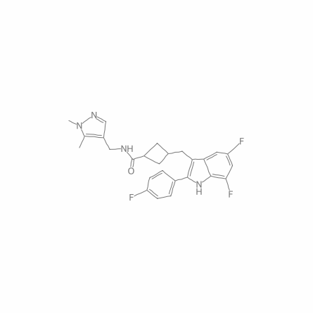 Cc1c(CNC(=O)C2CC(Cc3c(-c4ccc(F)cc4)[nH]c4c(F)cc(F)cc34)C2)cnn1C